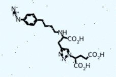 [N-]=[N+]=Nc1ccc(CCCCNC(Cc2cn(C(CCC(=O)O)C(=O)O)nn2)C(=O)O)cc1